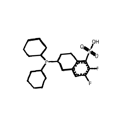 O=S(=O)(O)c1c(F)c(F)cc2c1CCC(P(C1CCCCC1)C1CCCCC1)C2